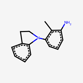 Cc1c(N)cccc1N1CCc2ccccc21